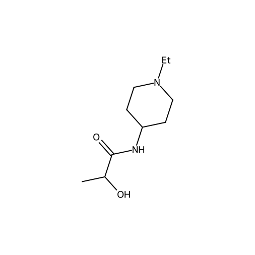 CCN1CCC(NC(=O)C(C)O)CC1